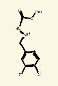 CC(C)(C)OC(=O)NNCc1ccc(Cl)c(Cl)c1